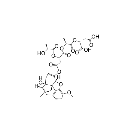 COc1ccc2c3c1O[C@H]1C(OC(=O)C[C@H](OC(=O)[C@H](C)O)C(=O)O[C@@H](C)C(=O)O[C@H](CC(=O)O)C(=O)O)=CC[C@@]4(O)[C@@H](C2)C(C)CC[C@]314